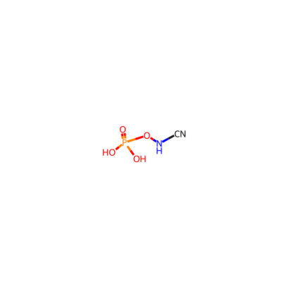 N#CNOP(=O)(O)O